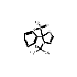 CCC(C)(C)N1C=CSC1(c1ccccc1)S(N)(=O)=O